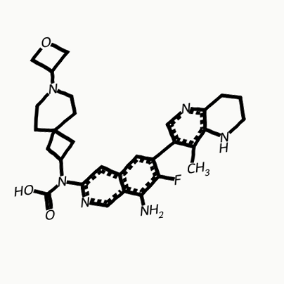 Cc1c(-c2cc3cc(N(C(=O)O)C4CC5(CCN(C6COC6)CC5)C4)ncc3c(N)c2F)cnc2c1NCCC2